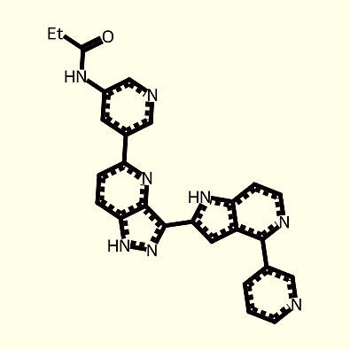 CCC(=O)Nc1cncc(-c2ccc3[nH]nc(-c4cc5c(-c6cccnc6)nccc5[nH]4)c3n2)c1